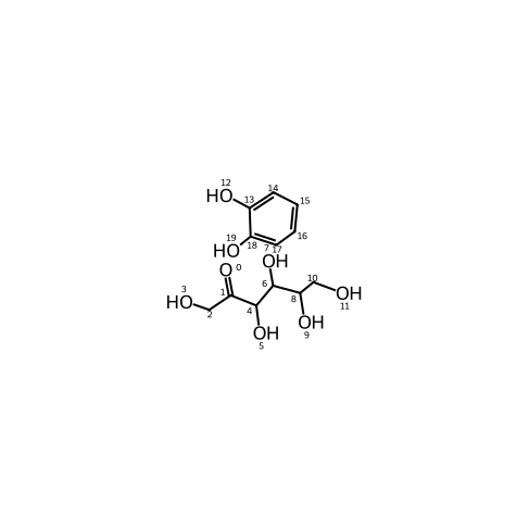 O=C(CO)C(O)C(O)C(O)CO.Oc1ccccc1O